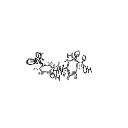 O=C(O)c1ccc(NCc2cc([N+](=O)[O-])ccc2O)cc1O